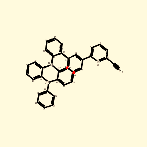 N#Cc1cccc(-c2cccc(-c3ccccc3N3c4ccccc4N(c4ccccc4)c4ccccc43)c2)n1